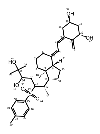 C=C1C(=CC=C2CCC[C@]3(C)[C@@H]([C@H](C)C(CC(O)C(C)(C)O)S(=O)(=O)c4ccc(C)cc4)CC[C@@H]23)C[C@@H](O)C[C@@H]1O